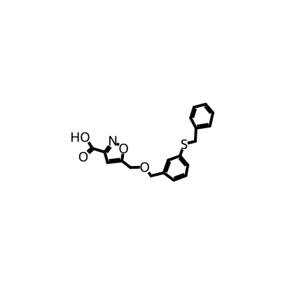 O=C(O)c1cc(COCc2cccc(SCc3ccccc3)c2)on1